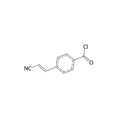 N#C/C=C/c1ccc(C(=O)Cl)cc1